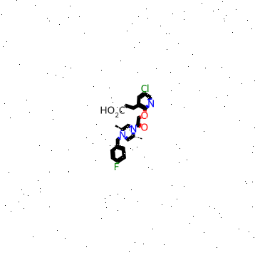 C[C@@H]1CN(Cc2ccc(F)cc2)[C@@H](C)CN1C(=O)COc1ncc(Cl)cc1CCC(=O)O